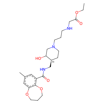 CCOC(=O)CNCCCN1CC[C@@H](CNC(=O)c2cc(C)cc3c2OCCCO3)C(O)C1